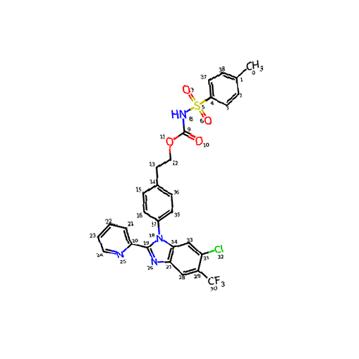 Cc1ccc(S(=O)(=O)NC(=O)OCCc2ccc(-n3c(-c4ccccn4)nc4cc(C(F)(F)F)c(Cl)cc43)cc2)cc1